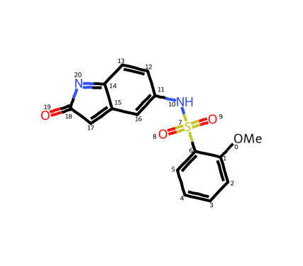 COc1ccccc1S(=O)(=O)Nc1ccc2c(c1)=CC(=O)N=2